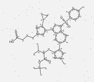 Cc1ccc(S(=O)(=O)n2cc(-c3cn(CCCC(=O)O)nc3C3CC3)c3cc(-c4cn(C)nc4CN(C(=O)OC(C)(C)C)C(C)C)cnc32)cc1